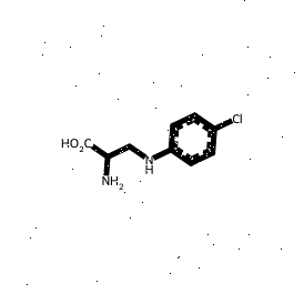 NC(CNc1ccc(Cl)cc1)C(=O)O